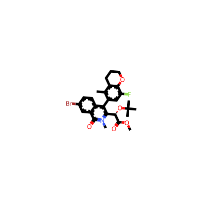 COC(=O)[C@@H](OC(C)(C)C)c1c(-c2cc(F)c3c(c2C)CCCO3)c2ccc(Br)cc2c(=O)n1C